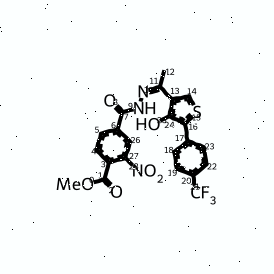 COC(=O)c1ccc(C(=O)NN=C(C)c2csc(-c3ccc(C(F)(F)F)cc3)c2O)cc1[N+](=O)[O-]